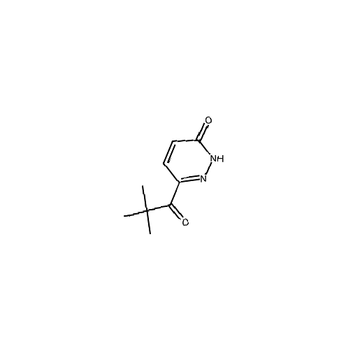 CC(C)(C)C(=O)c1ccc(=O)[nH]n1